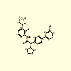 Cc1c(NC(=O)[C@@H](c2ccc(-c3cncc(Cl)c3)cc2)C2CCCC2)cccc1[C@H](C)CC(=O)O